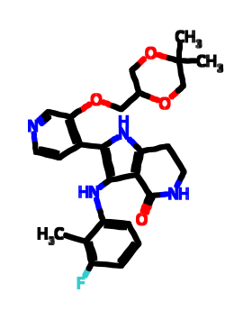 Cc1c(F)cccc1Nc1c(-c2ccncc2OCC2COC(C)(C)CO2)[nH]c2c1C(=O)NCC2